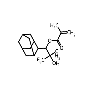 C=C(C)C(=O)OC(C1C2CC3CC(C2)CC1C3)C(C)(O)C(F)(F)F